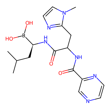 CC(C)C[C@H](NC(=O)C(Cc1nccn1C)NC(=O)c1cnccn1)B(O)O